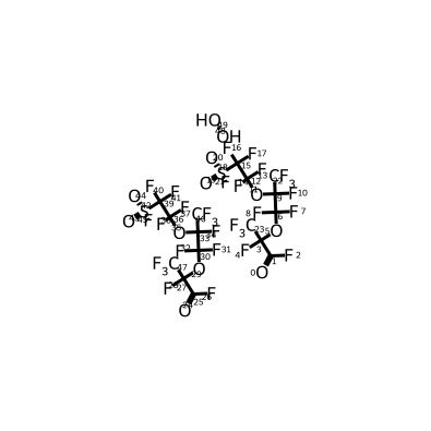 O=C(F)C(F)(OC(F)(F)C(F)(OC(F)(F)C(F)(F)S(=O)(=O)F)C(F)(F)F)C(F)(F)F.O=C(F)C(F)(OC(F)(F)C(F)(OC(F)(F)C(F)(F)S(=O)(=O)F)C(F)(F)F)C(F)(F)F.OO